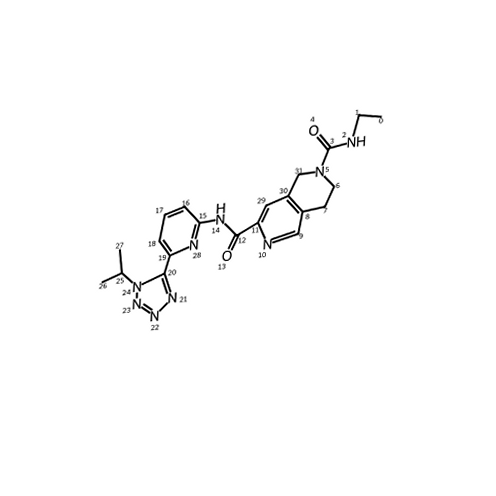 CCNC(=O)N1CCc2cnc(C(=O)Nc3cccc(-c4nnnn4C(C)C)n3)cc2C1